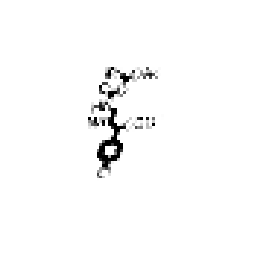 CC(=O)OC(OC(=O)NCCC(C(=O)[O-])c1ccc(Cl)cc1)C(C)C.[Na+]